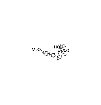 COCCN1CCN(c2ccc(C(=O)NC(CC(C)C)C(=O)N3C[C@@H](O)[C@H]4OCC(=O)[C@H]43)cc2)CC1